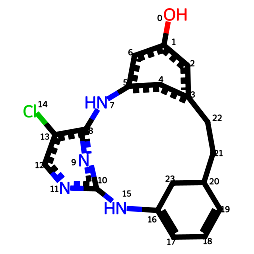 Oc1cc2cc(c1)Nc1nc(ncc1Cl)NC1=CC=CC(CC2)C1